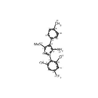 CSc1nn(-c2c(Cl)cc(C(F)(F)F)cc2Cl)c(N)c1-c1ccc(C)cc1